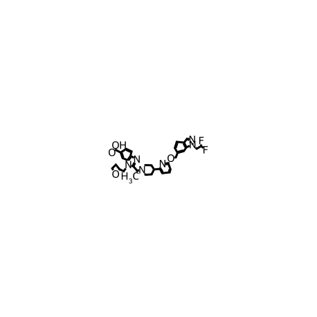 CC(c1nc2ccc(C(=O)O)cc2n1CC1CCO1)N1CCC(c2cccc(OCc3ccc4cnn(CC(F)F)c4c3)n2)CC1